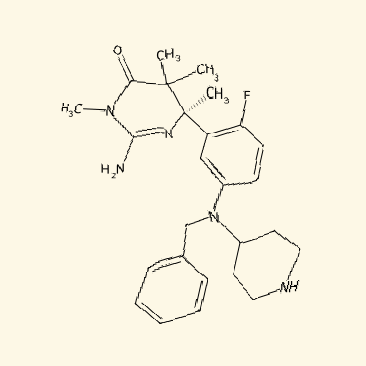 CN1C(=O)C(C)(C)[C@@](C)(c2cc(N(Cc3ccccc3)C3CCNCC3)ccc2F)N=C1N